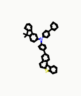 CC1(C)c2ccccc2-c2cc(N(c3ccc(-c4ccccc4)cc3)c3ccc(-c4ccc5c(ccc6sc7ccccc7c65)c4)cc3)ccc21